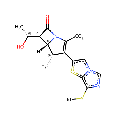 CCSc1ncn2cc(C3=C(C(=O)O)N4C(=O)[C@H]([C@@H](C)O)[C@H]4[C@H]3C)sc12